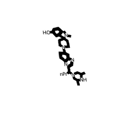 CCCC(c1cnc2cc(N3CCC(c4cccc(O)c4)(N(C)C)CC3)ccc2n1)N1CC(C)NC(C)C1